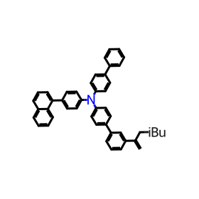 C=C(CC(C)CC)c1cccc(-c2ccc(N(c3ccc(-c4ccccc4)cc3)c3ccc(-c4cccc5ccccc45)cc3)cc2)c1